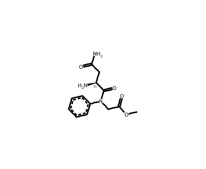 COC(=O)CN(C(=O)[C@@H](N)CC(N)=O)c1ccccc1